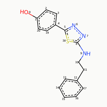 Oc1ccc(-c2nnc(NCCc3ccccc3)s2)cc1